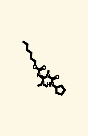 CCCCCCOC(=O)/N=C(/N(C)C)N(C)C(=O)NC1CCCC1